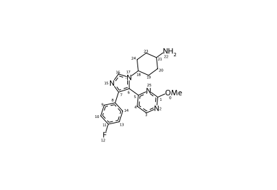 COc1nccc(-c2c(-c3ccc(F)cc3)ncn2C2CCC(N)CC2)n1